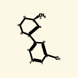 C[C@H]1C=C(c2cncc(Cl)c2)CCC1